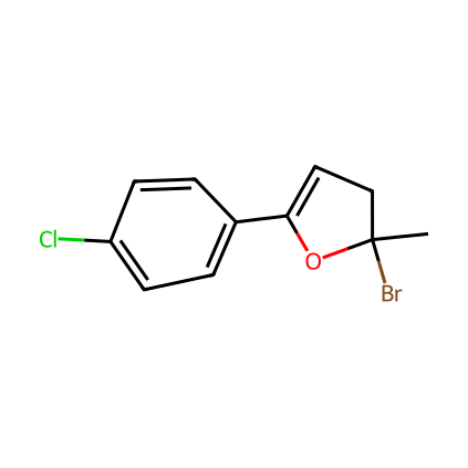 CC1(Br)CC=C(c2ccc(Cl)cc2)O1